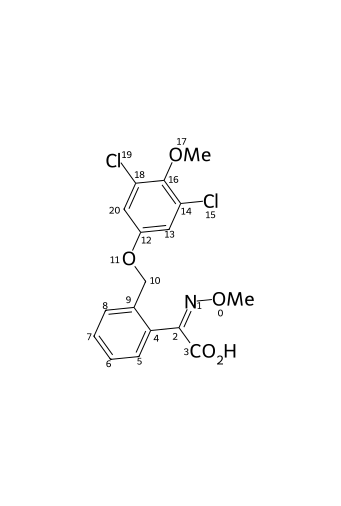 CON=C(C(=O)O)c1ccccc1COc1cc(Cl)c(OC)c(Cl)c1